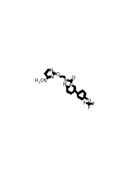 CSc1ccnc(OCCn2nc3ccc(-c4ccc(OC(F)(F)F)cc4)cn3c2=O)n1